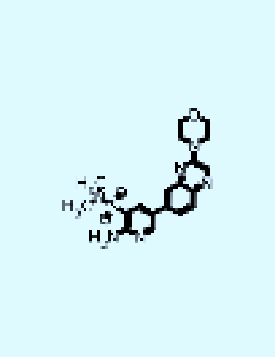 CN(C)S(=O)(=O)c1cc(-c2ccc3ncc(N4CCOCC4)nc3c2)cnc1N